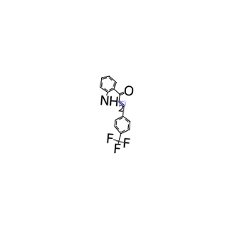 Nc1ccccc1C(=O)/C=C/c1ccc(C(F)(F)F)cc1